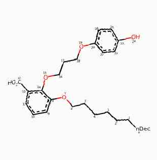 CCCCCCCCCCCCCCCCOc1cccc(C(=O)O)c1OCCCOc1ccc(O)cc1